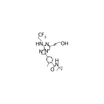 Cc1cc(-c2cnc3c(NCCC(F)(F)F)nc(C#CCO)cn23)ccc1C(=O)NC1(C)CC1